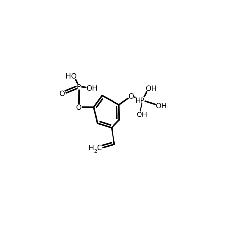 C=Cc1cc(OP(=O)(O)O)cc(O[PH](O)(O)O)c1